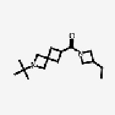 CCC1CN(C(=O)C2CC3(C2)CN(C(C)(C)C)C3)C1